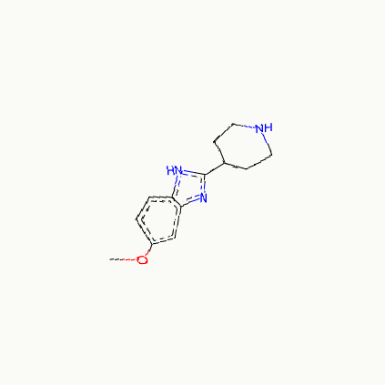 COc1ccc2[nH]c(C3CCNCC3)nc2c1